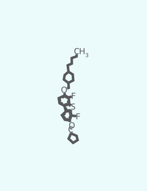 CCCCCC1CCC(COc2ccc3c(sc4c(F)c(OCC5CCCC5)ccc43)c2F)CC1